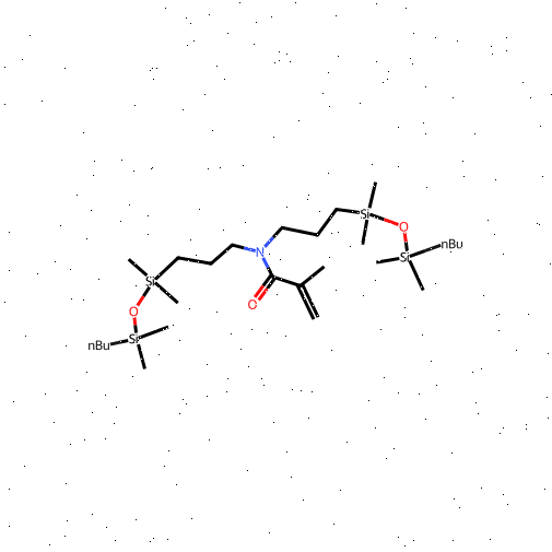 C=C(C)C(=O)N(CCC[Si](C)(C)O[Si](C)(C)CCCC)CCC[Si](C)(C)O[Si](C)(C)CCCC